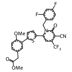 COC(=O)Cc1ccc(OC)c(-c2ccc(-c3cc(C(F)(F)F)c(C#N)c(=O)n3Cc3ccc(F)cc3F)s2)c1